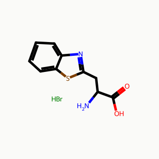 Br.NC(Cc1nc2ccccc2s1)C(=O)O